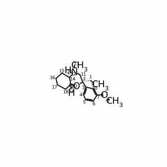 CC[C@@]1(c2cccc(OC)c2)CN(C)[C@@H]2CCCC[C@H]2O1